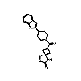 O=C1N[C@]2(CO1)C[C@H](C(=O)N1CCC(c3cc4ccccc4o3)CC1)C2